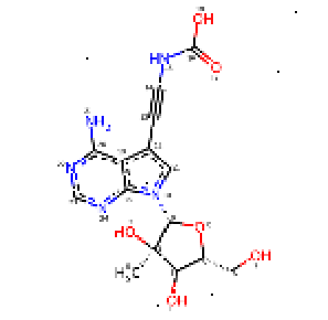 C[C@@]1(O)[C@H](O)[C@@H](CO)O[C@H]1n1cc(C#CNC(=O)O)c2c(N)ncnc21